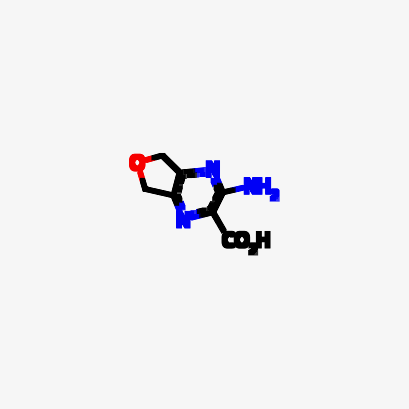 Nc1nc2c(nc1C(=O)O)COC2